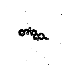 CC(=O)N1CCN(c2ccc(S(=O)(=O)Cc3ccccc3)cc2[N+](=O)[O-])CC1